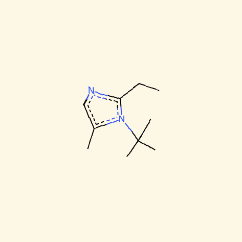 CCc1ncc(C)n1C(C)(C)C